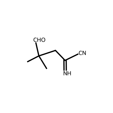 CC(C)(C=O)CC(=N)C#N